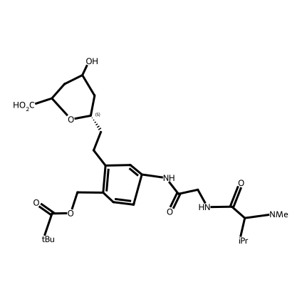 CNC(C(=O)NCC(=O)Nc1ccc(COC(=O)C(C)(C)C)c(CC[C@H]2CC(O)CC(C(=O)O)O2)c1)C(C)C